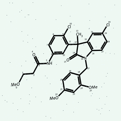 COCCC(=O)Nc1ccc(Cl)c(C2(C)C(=O)N(Cc3ccc(OC)cc3OC)c3ccc(Cl)cc32)c1